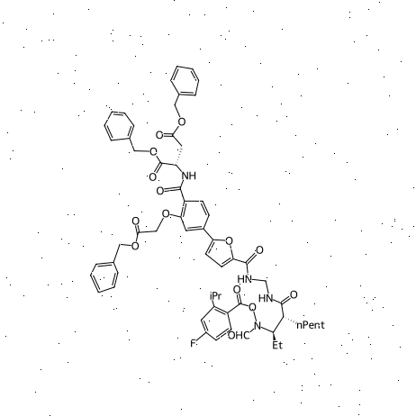 CCCCC[C@@H](C(=O)NCNC(=O)c1ccc(-c2ccc(C(=O)N[C@@H](CC(=O)OCc3ccccc3)C(=O)OCc3ccccc3)c(OCC(=O)OCc3ccccc3)c2)o1)[C@@H](CC)N(C=O)OC(=O)c1ccc(F)cc1C(C)C